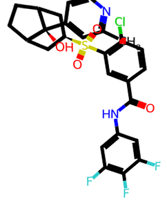 Cc1cc([C@]2(O)C3CCC2C[C@@H](S(=O)(=O)c2cc(C(=O)Nc4cc(F)c(F)c(F)c4)ccc2Cl)C3)ccn1